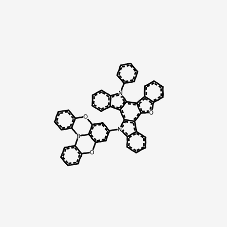 c1ccc(-n2c3ccccc3c3c4c(c5ccccc5n4-c4cc5c6c(c4)Oc4ccccc4B6c4ccccc4O5)c4oc5ccccc5c4c32)cc1